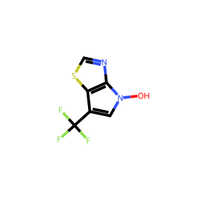 On1cc(C(F)(F)F)c2scnc21